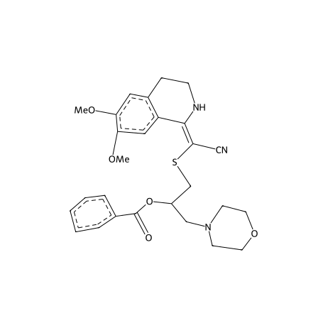 COc1cc2c(cc1OC)C(=C(C#N)SCC(CN1CCOCC1)OC(=O)c1ccccc1)NCC2